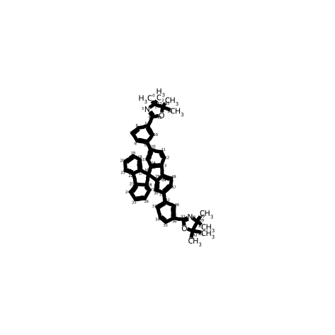 CC1(C)N=C(c2cccc(-c3ccc4c(c3)C3(c5ccccc5-c5ccccc53)c3cc(-c5cccc(C6=NC(C)(C)C(C)(C)O6)c5)ccc3-4)c2)OC1(C)C